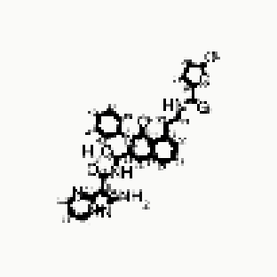 C[C@H](NC(=O)c1c(N)nn2cccnc12)c1cc2cccc(CCNC(=O)[C@H]3CCC(=O)O3)c2c(=O)n1-c1ccccc1